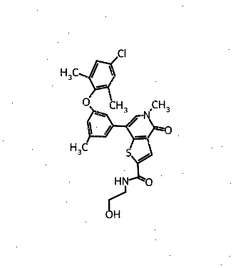 Cc1cc(Oc2c(C)cc(Cl)cc2C)cc(-c2cn(C)c(=O)c3cc(C(=O)NCCO)sc23)c1